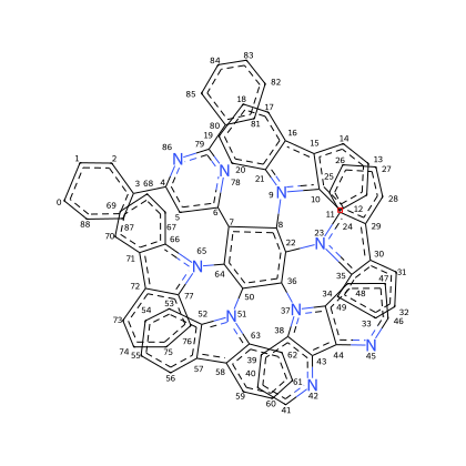 c1ccc(-c2cc(-c3c(-n4c5ccccc5c5ccccc54)c(-n4c5ccccc5c5ccccc54)c(-n4c5cccnc5c5ncccc54)c(-n4c5ccccc5c5ccccc54)c3-n3c4ccccc4c4ccccc43)nc(-c3ccccc3)n2)cc1